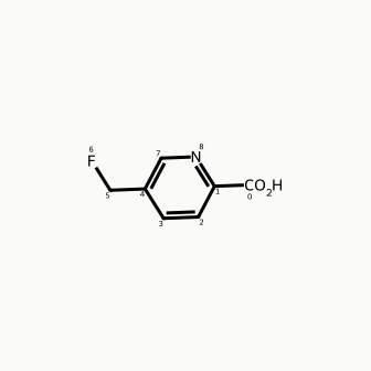 O=C(O)c1ccc(CF)cn1